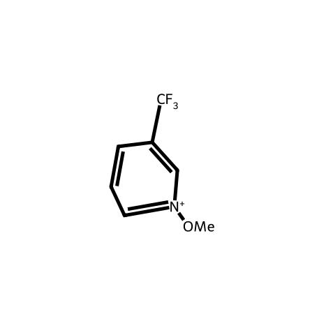 CO[n+]1cccc(C(F)(F)F)c1